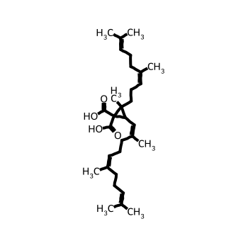 CC(C)=CCCC(C)=CCCC(C)=CC1C(C)(CCC=C(C)CCC=C(C)C)C1(C(=O)O)C(=O)O